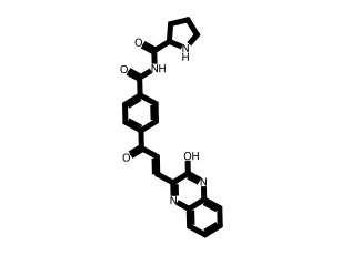 O=C(C=Cc1nc2ccccc2nc1O)c1ccc(C(=O)NC(=O)C2CCCN2)cc1